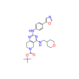 CC(C)(C)OC(=O)N1CCc2nc(Nc3ccc(-c4cnco4)cc3)nc(NCC3CCOCC3)c2C1